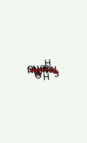 CCn1c2ccc(CNCC(=O)NCCOc3ccc(CCc4nc5cc(-c6c(C)noc6C)ccc5n4CCN4CCOCC4)cc3F)cc2c2ccc(-c3cc(C)cs3)cc21